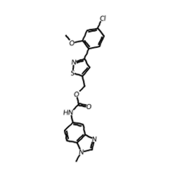 COc1cc(Cl)ccc1-c1cc(COC(=O)Nc2ccc3c(c2)ncn3C)sn1